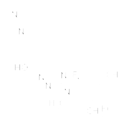 CC[C@@]1(C)CC(C)C[C@H](F)[C@@H](N(C)c2ncc(-c3ccc(-n4ccnc4)cc3O)nn2)C1